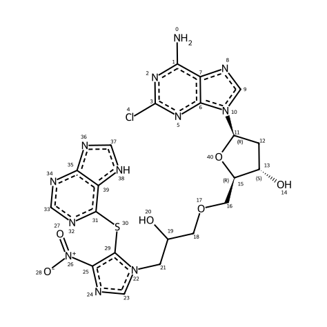 Nc1nc(Cl)nc2c1ncn2[C@H]1C[C@H](O)[C@@H](COCC(O)Cn2cnc([N+](=O)[O-])c2Sc2ncnc3nc[nH]c23)O1